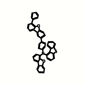 c1ccc(-c2cccc3c2oc2ccc(-c4ccc(N(c5cccc6c5oc5ccccc56)c5cccc6sc7ccccc7c56)cc4)cc23)cc1